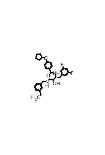 CCc1cccc(CNC[C@H](O)[C@H](Cc2cc(F)cc(F)c2)NC(=O)c2ccc(OC3CCCC3)cc2)c1